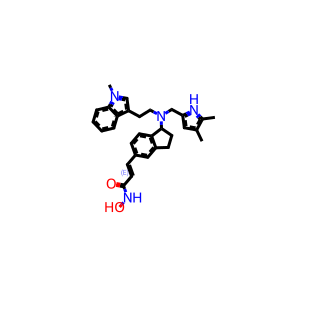 Cc1cc(CN(CCc2cn(C)c3ccccc23)C2CCc3cc(/C=C/C(=O)NO)ccc32)[nH]c1C